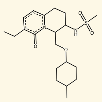 CCc1ccc2n(c1=O)C(COC1CCC(C)CC1)C(NS(C)(=O)=O)CC2